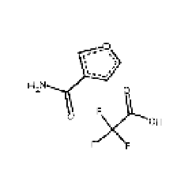 NC(=O)c1ccoc1.O=C(O)C(F)(F)F